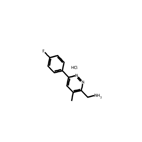 Cc1cc(-c2ccc(F)cc2)nnc1CN.Cl